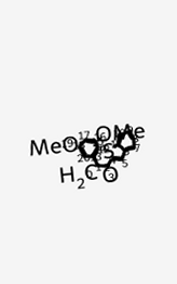 C=C(C(=O)c1cc2ccccc2s1)c1cc(OC)cc(OC)c1